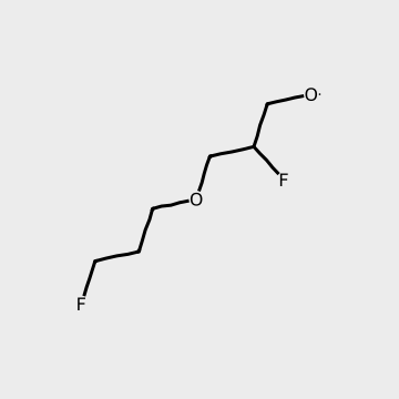 [O]CC(F)COCCCF